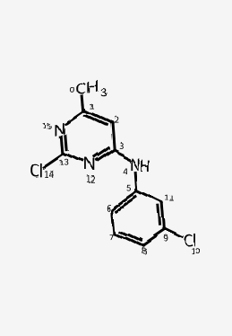 Cc1cc(Nc2cccc(Cl)c2)nc(Cl)n1